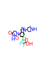 O=C(O)C(F)(F)F.O=C1CCN(c2cc(Cl)cc3c2cnn3C2CCNCC2)C(=O)N1